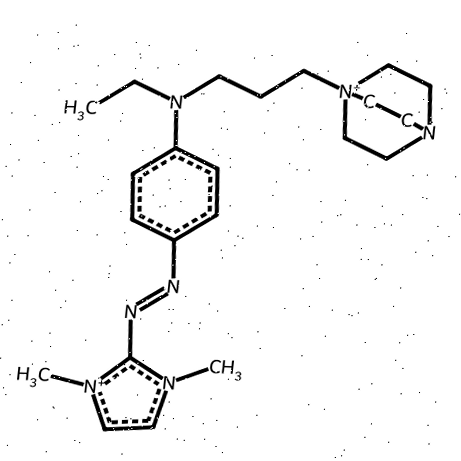 CCN(CCC[N+]12CCN(CC1)CC2)c1ccc(/N=N/c2n(C)cc[n+]2C)cc1